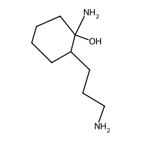 NCCCC1CCCCC1(N)O